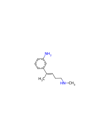 CNCCC=C(C)c1cccc(N)c1